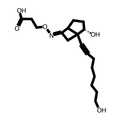 O=C(O)CCON=C1CC2(C#CCCCCCCO)C1CC[C@@H]2O